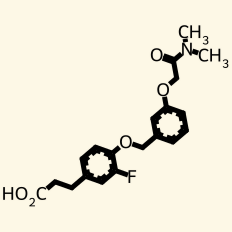 CN(C)C(=O)COc1cccc(COc2ccc(CCC(=O)O)cc2F)c1